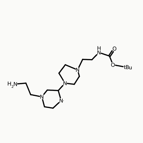 CC(C)(C)OC(=O)NCCN1CCN(C2CN(CCN)CC[N]2)CC1